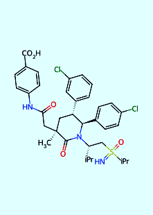 CC(C)[C@@H](CS(=N)(=O)C(C)C)N1C(=O)[C@@](C)(CC(=O)Nc2ccc(C(=O)O)cc2)C[C@H](c2cccc(Cl)c2)[C@H]1c1ccc(Cl)cc1